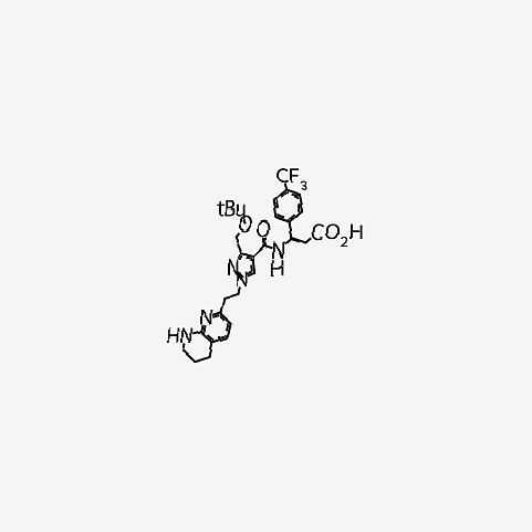 CC(C)(C)OCc1nn(CCc2ccc3c(n2)NCCC3)cc1C(=O)NC(CC(=O)O)c1ccc(C(F)(F)F)cc1